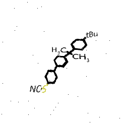 CC(C)(C)C1CCC(C(C)(C)C2CCC(C3CCC(SC#N)CC3)CC2)CC1